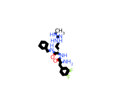 CNC(=N)NCCC[C@H](NC(=O)[C@@H](N)Cc1ccc(F)c(F)c1)C(=O)NCc1ccccc1